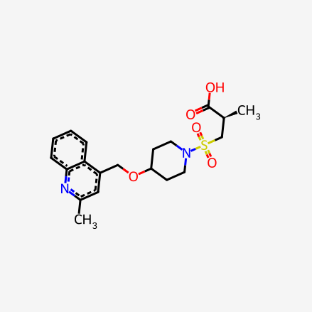 Cc1cc(COC2CCN(S(=O)(=O)C[C@H](C)C(=O)O)CC2)c2ccccc2n1